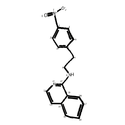 O=[N+]([O-])c1ccc(CCNc2nccc3ccccc23)cc1